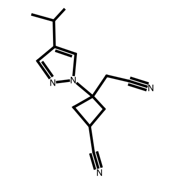 CC(C)c1cnn(C2(CC#N)CC(C#N)C2)c1